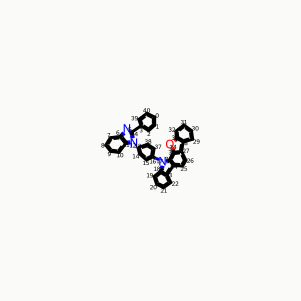 c1ccc(-c2nc3ccccc3n2-c2ccc(-n3c4ccccc4c4ccc5c6ccccc6oc5c43)cc2)cc1